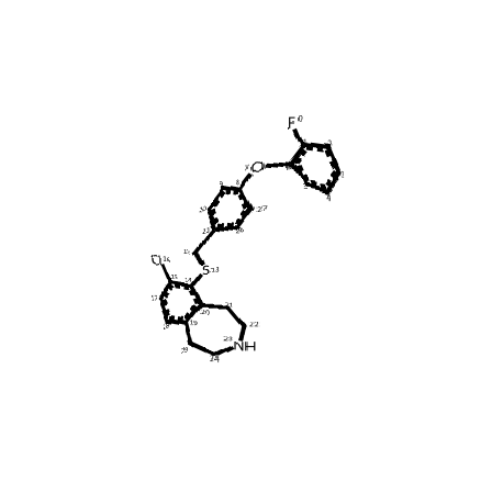 Fc1ccccc1Oc1ccc(CSc2c(Cl)ccc3c2CCNCC3)cc1